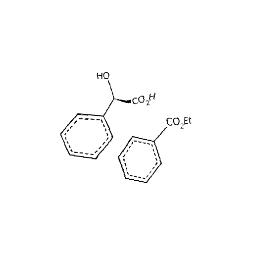 CCOC(=O)c1ccccc1.O=C(O)[C@H](O)c1ccccc1